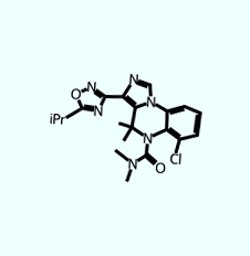 CC(C)c1nc(-c2ncn3c2C(C)(C)N(C(=O)N(C)C)c2c(Cl)cccc2-3)no1